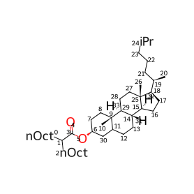 CCCCCCCCC(CCCCCCCC)C(=O)O[C@H]1CC[C@@]2(C)C(CC[C@H]3[C@@H]4CC[C@H]([C@H](C)CCCC(C)C)[C@@]4(C)CC[C@@H]32)C1